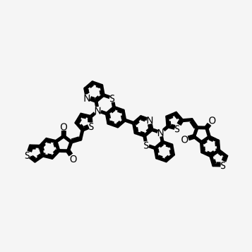 O=C1C(=Cc2ccc(N3c4ccc(-c5cnc6c(c5)Sc5ccccc5N6c5ccc(C=C6C(=O)c7cc8cscc8cc7C6=O)s5)cc4Sc4cccnc43)s2)C(=O)c2cc3cscc3cc21